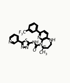 C[C@@H]1CCNc2ccc(-c3cccc(C(F)(F)F)c3)nc2N1C(=O)Nc1nnc(-c2cccnc2)s1